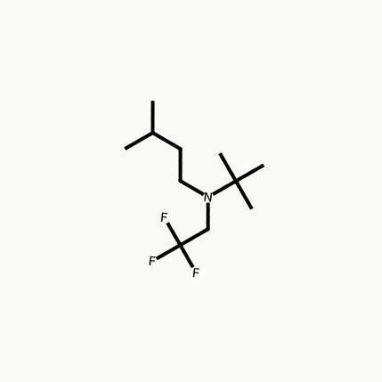 CC(C)CCN(CC(F)(F)F)C(C)(C)C